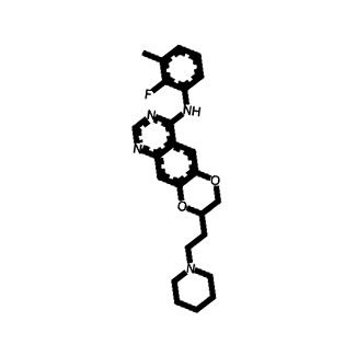 Cc1cccc(Nc2ncnc3cc4c(cc23)OCC(CCN2CCCCC2)O4)c1F